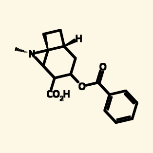 C[N@@]1C2C(C(=O)O)C(OC(=O)c3ccccc3)C[C@H]3CC[C@]231